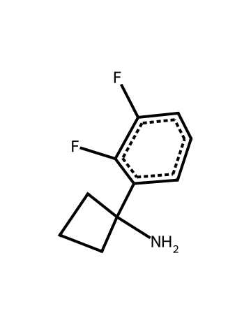 NC1(c2cccc(F)c2F)CCC1